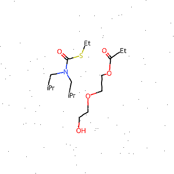 CCC(=O)OCCOCCO.CCSC(=O)N(CC(C)C)CC(C)C